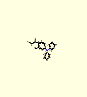 CCC(C)c1ccc(N(c2ccccc2)c2ccccc2)cc1C